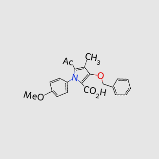 COc1ccc(-n2c(C(C)=O)c(C)c(OCc3ccccc3)c2C(=O)O)cc1